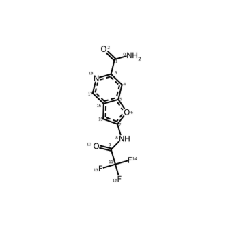 NC(=O)c1cc2oc(NC(=O)C(F)(F)F)cc2cn1